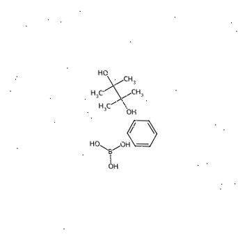 CC(C)(O)C(C)(C)O.OB(O)O.c1ccccc1